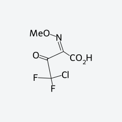 CON=C(C(=O)O)C(=O)C(F)(F)Cl